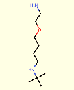 CC(C)(C)NCCCCOCCN